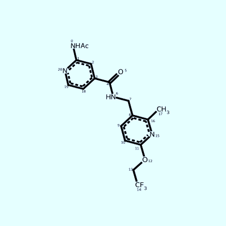 CC(=O)Nc1cc(C(=O)NCc2ccc(OCC(F)(F)F)nc2C)ccn1